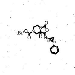 CC(C)(C)OC(=O)N1CCN2C(=O)OC(=N[C@H]3C[C@@H]3c3ccccc3)[C@@H]2C1